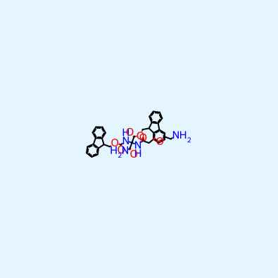 NCCOCCC(=O)NC(NC(=O)OCC1c2ccccc2-c2ccccc21)(C(N)=O)C(=O)OCC1c2ccccc2-c2ccccc21